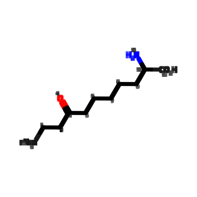 CCCCCCCCCCCC(=O)CCCCCC(N)C(=O)O